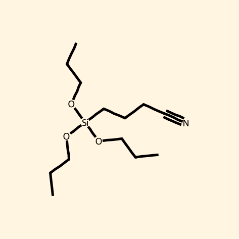 CCCO[Si](CCCC#N)(OCCC)OCCC